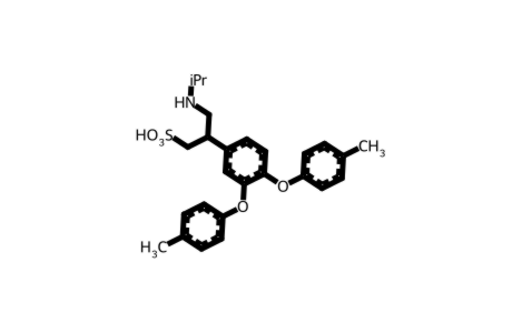 Cc1ccc(Oc2ccc(C(CNC(C)C)CS(=O)(=O)O)cc2Oc2ccc(C)cc2)cc1